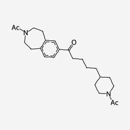 CC(=O)N1CCc2ccc(C(=O)CCCCC3CCN(C(C)=O)CC3)cc2CC1